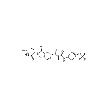 O=C1CCC(N2Cc3ccc(C(=O)NC(=O)Nc4ccc(OC(F)(F)F)cc4)cc3C2=O)C(=O)N1